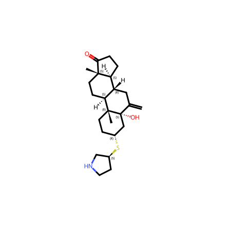 C=C1C[C@H]2[C@@H]3CCC(=O)[C@@]3(C)CC[C@@H]2[C@@]2(C)CC[C@@H](S[C@H]3CCNC3)C[C@]12O